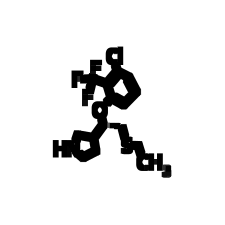 CCSC[C@@H](Oc1cccc(Cl)c1C(F)(F)F)C1CCNC1